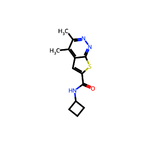 Cc1nnc2sc(C(=O)NC3CCC3)cc2c1C